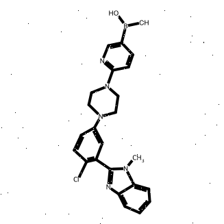 Cn1c(-c2cc(N3CCN(c4ccc(B(O)O)cn4)CC3)ccc2Cl)nc2ccccc21